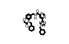 O=C(NCc1ccc2c(c1)N(CC1CCCCC1)C(=O)CO2)c1cc(-c2nnn(CC3CCCCC3)n2)ncn1